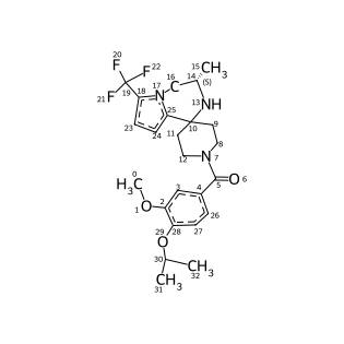 COc1cc(C(=O)N2CCC3(CC2)N[C@@H](C)Cn2c(C(F)(F)F)ccc23)ccc1OC(C)C